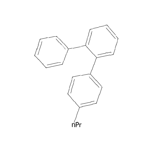 CCCc1ccc(-c2ccccc2-c2ccccc2)cc1